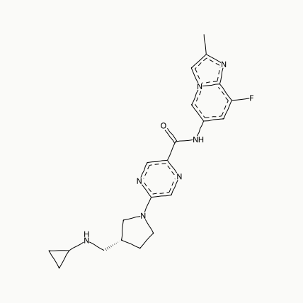 Cc1cn2cc(NC(=O)c3cnc(N4CC[C@H](CNC5CC5)C4)cn3)cc(F)c2n1